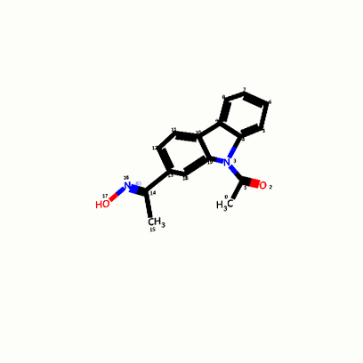 CC(=O)n1c2ccccc2c2ccc(/C(C)=N/O)cc21